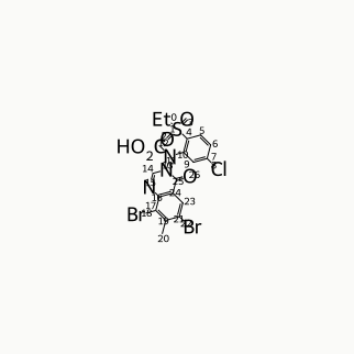 CCS(=O)(=O)c1ccc(Cl)cc1N(C(=O)O)n1cnc2c(Br)c(C)c(Br)cc2c1=O